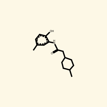 Cc1ccc(O)c(NC(=O)CC2CCC(C)CC2)c1